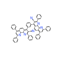 N#Cc1c(-c2ccccc2)nc2c(ccc3c(-c4ccccc4)cc(-c4ccccc4)nc32)c1-c1cccc(-c2c(C#N)c(-c3ccccc3)nc3c2ccc2c(-c4ccccc4)cc(-c4ccccc4)nc23)c1